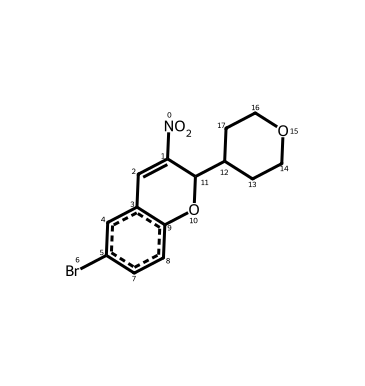 O=[N+]([O-])C1=Cc2cc(Br)ccc2OC1C1CCOCC1